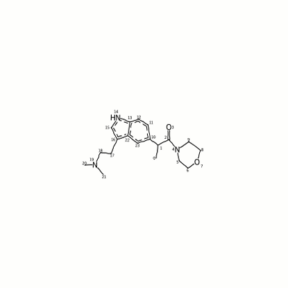 CC(C(=O)N1CCOCC1)c1ccc2[nH]cc(CCN(C)C)c2c1